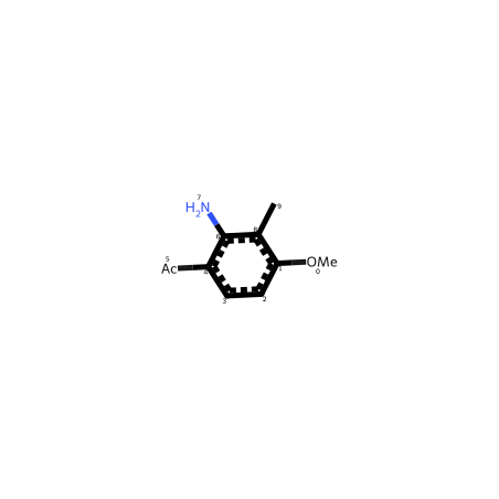 COc1ccc(C(C)=O)c(N)c1C